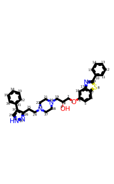 O[C@@H](COc1ccc2sc(-c3ccccc3)nc2c1)CN1CCN(CCc2n[nH]cc2-c2ccccc2)CC1